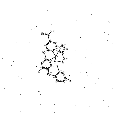 CCN(CC)c1ccc2c(c1)Oc1cc(C)c(Nc3ccc(C)cc3C)cc1C21OCOc2ccccc21